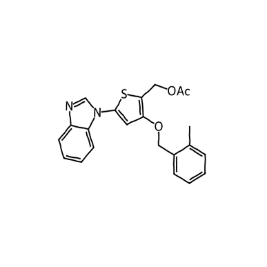 CC(=O)OCc1sc(-n2cnc3ccccc32)cc1OCc1ccccc1C